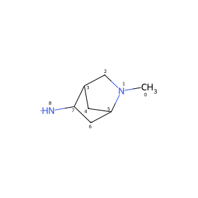 CN1CC2CC1CC2[NH]